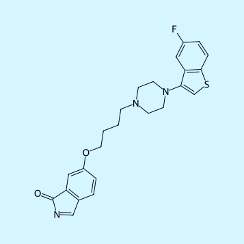 O=C1N=Cc2ccc(OCCCCN3CCN(c4csc5ccc(F)cc45)CC3)cc21